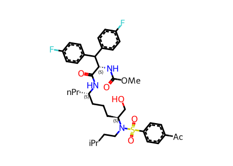 CCC[C@@H](CCC[C@@H](CO)N(CCC(C)C)S(=O)(=O)c1ccc(C(C)=O)cc1)NC(=O)[C@@H](NC(=O)OC)C(c1ccc(F)cc1)c1ccc(F)cc1